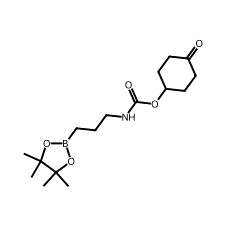 CC1(C)OB(CCCNC(=O)OC2CCC(=O)CC2)OC1(C)C